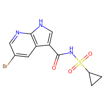 O=C(NS(=O)(=O)C1CC1)c1c[nH]c2ncc(Br)cc12